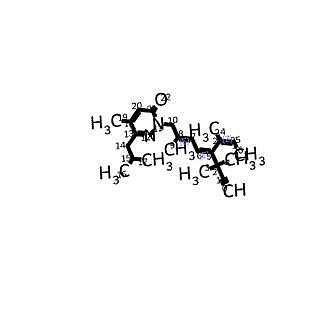 C#CC(C)(C)C(=C/C=C(\C)Cn1nc(CC(C)C)c(C)cc1=O)/C(C)=C\C